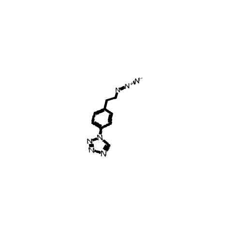 [N-]=[N+]=NCCc1ccc(-n2cnnn2)cc1